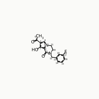 CC(=O)c1cn2c(c1O)C(=O)N(Cc1cccc(F)c1)CC2